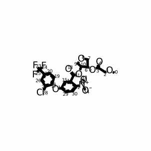 COCC(=O)OC1COCC1OC(=O)c1cc(Oc2ccc(C(F)(F)F)cc2Cl)ccc1[N+](=O)[O-]